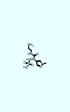 Cn1cc(NC(=O)NCCN)cn1.O=S(=O)(O)O